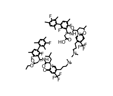 CCOC(=O)C[C@H](NC(=O)C(CC(C)C)n1cc(CCCN(C)C)c(C(F)(F)F)cc1=O)c1c(F)c(C)cc(-c2c(C)cc(C)c(F)c2C)c1F.Cc1cc(C)c(-c2cc(C)c(F)c([C@H](CC(=O)O)NC(=O)C(CC(C)C)n3cc(CCCN(C)C)c(C(F)(F)F)cc3=O)c2F)c(C)c1F